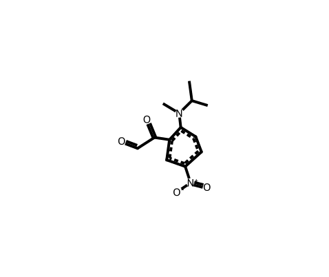 CC(C)N(C)c1ccc([N+](=O)[O-])cc1C(=O)C=O